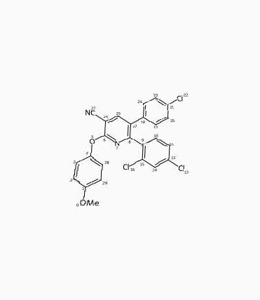 COc1ccc(Oc2nc(-c3ccc(Cl)cc3Cl)c(-c3ccc(Cl)cc3)cc2C#N)cc1